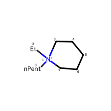 CCCCC[N+]1(CC)CCCCC1